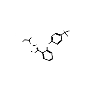 CC([C@@H](C)O)n1nnc(-c2ccccc2Nc2ccc(C(F)(F)F)cc2)n1